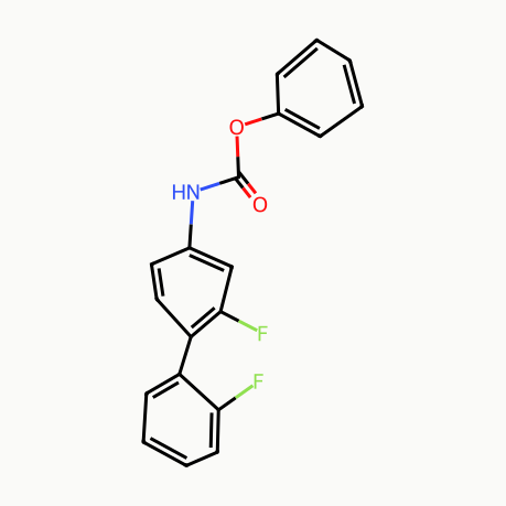 O=C(Nc1ccc(-c2ccccc2F)c(F)c1)Oc1ccccc1